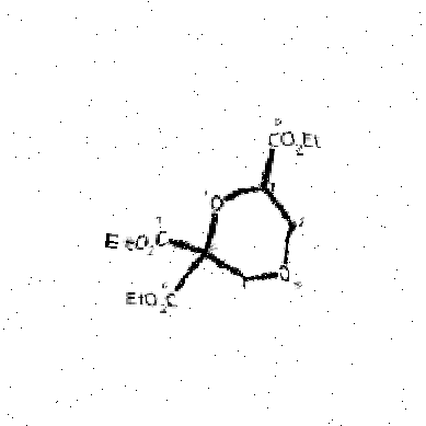 CCOC(=O)C1COCC(C(=O)OCC)(C(=O)OCC)O1